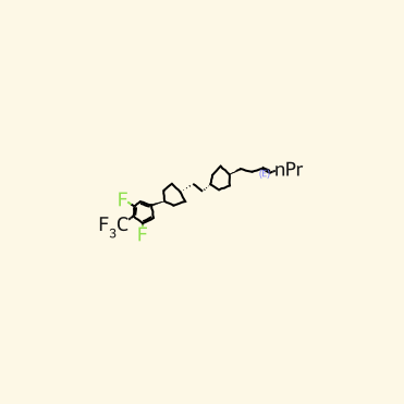 CCC/C=C/CC[C@H]1CC[C@H](CC[C@H]2CC[C@H](c3cc(F)c(C(F)(F)F)c(F)c3)CC2)CC1